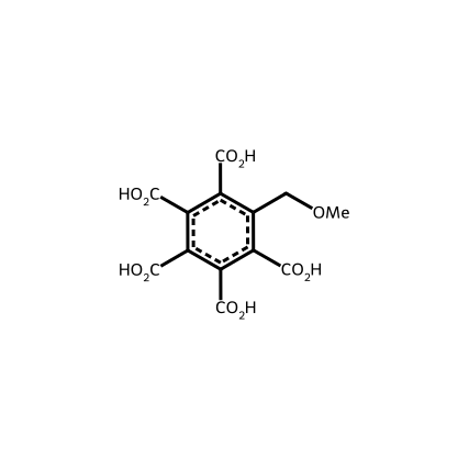 COCc1c(C(=O)O)c(C(=O)O)c(C(=O)O)c(C(=O)O)c1C(=O)O